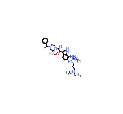 CC/N=C(\NCCCN(C)C)Nc1cccc2c(C(=O)C(=O)N3CCN(C(=O)c4ccccc4)C[C@H]3C)c[nH]c12